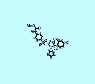 COC(=O)Nc1ccc(S(=O)(=O)C[C@@H]2CO[C@@](Cn3ccnc3)(c3ccc(Cl)cc3Cl)O2)cc1